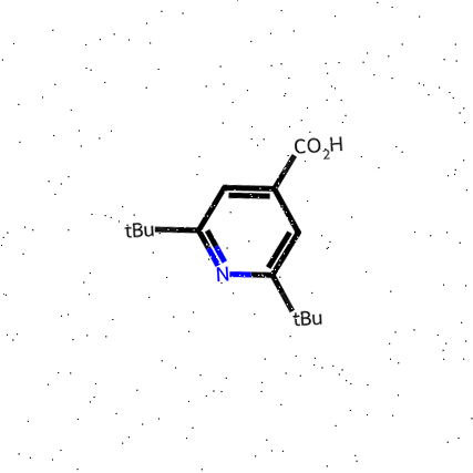 CC(C)(C)c1cc(C(=O)O)cc(C(C)(C)C)n1